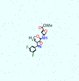 C=CC1C(c2cc(F)cc(F)c2)=NO[C@@H]1C(=O)N[C@@H]1C=C(C(=O)OC)OC1